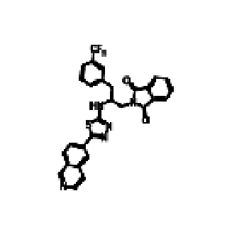 O=C1c2ccccc2C(=O)N1C[C@H](Cc1cccc(C(F)(F)F)c1)Nc1nnc(-c2ccc3cnccc3c2)s1